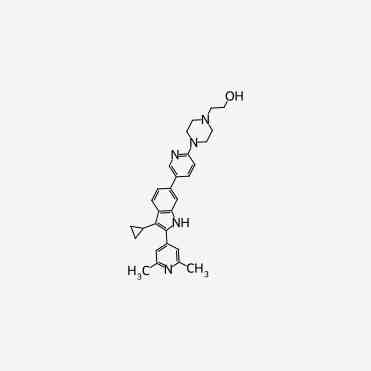 Cc1cc(-c2[nH]c3cc(-c4ccc(N5CCN(CCO)CC5)nc4)ccc3c2C2CC2)cc(C)n1